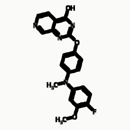 COc1cc(N(C)c2ccc(Oc3nc(O)c4ccncc4n3)cc2)ccc1F